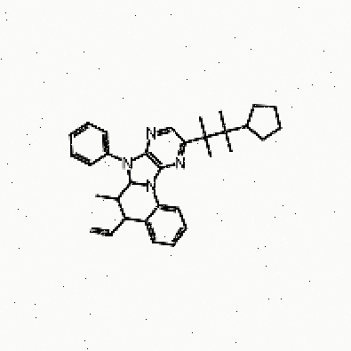 C=CC1c2ccccc2N2c3nc(C(C)(C)C(C)(C)C4CCCC4)cnc3N(c3ccccc3)C2C1C